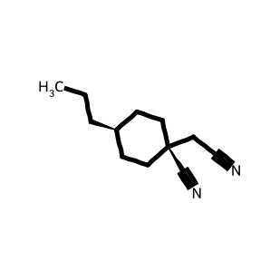 CCC[C@H]1CC[C@](C#N)(CC#N)CC1